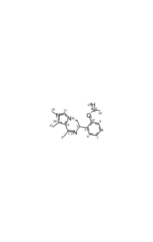 CC(=NC(C)c1ccccc1O[SiH](C)C)c1ncn(C)c1C